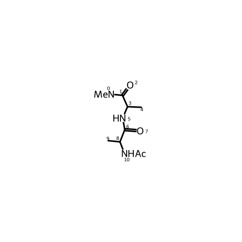 CNC(=O)C(C)NC(=O)C(C)NC(C)=O